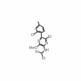 CCc1nc(NC(CC)CC)c(OC)nc1-c1ccc(C)cc1Cl